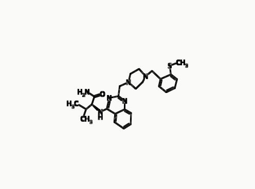 CSc1ccccc1CN1CCN(Cc2nc(N[C@H](C(N)=O)C(C)C)c3ccccc3n2)CC1